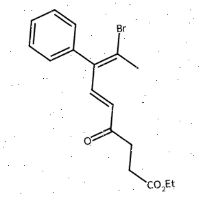 CCOC(=O)CCC(=O)C=CC(=C(C)Br)c1ccccc1